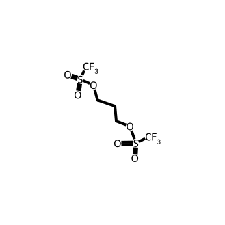 O=S(=O)(OCCCOS(=O)(=O)C(F)(F)F)C(F)(F)F